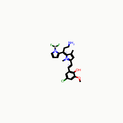 COc1cc(Cl)cc(/C=C/C2=[N+](C)C(=C(/CCN)c3cccn3B(F)F)/C(C)=C2)c1O